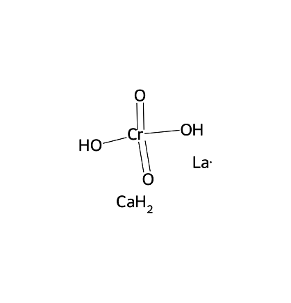 [CaH2].[La].[O]=[Cr](=[O])([OH])[OH]